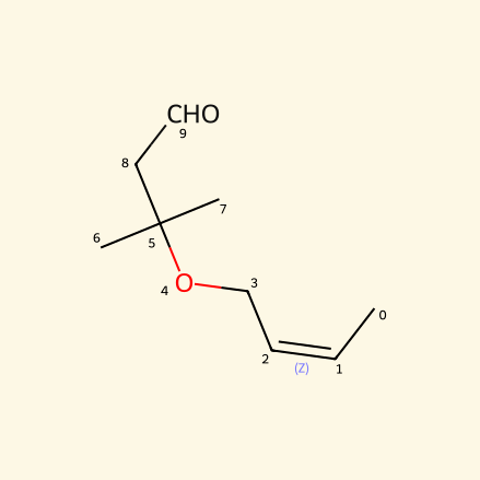 C/C=C\COC(C)(C)CC=O